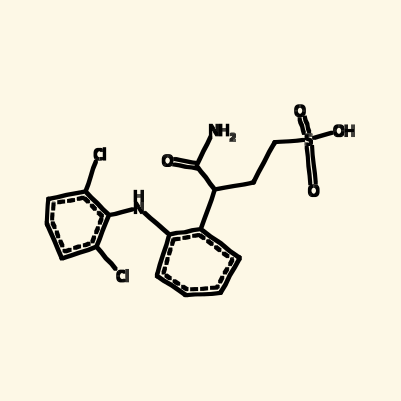 NC(=O)C(CCS(=O)(=O)O)c1ccccc1Nc1c(Cl)cccc1Cl